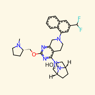 CN1CCC[C@H]1COc1nc2c(c(N3C[C@H]4CC[C@@H](C3)N4C(=O)O)n1)CCN(c1cc(C(F)F)cc3ccccc13)C2